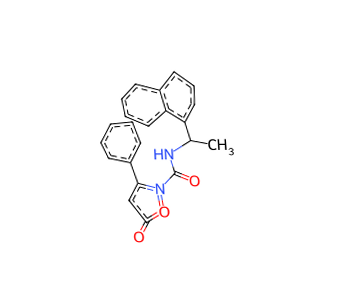 CC(NC(=O)n1oc(=O)cc1-c1ccccc1)c1cccc2ccccc12